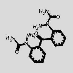 NC(=O)N(N)c1ccccc1C(=O)c1ccccc1N(N)C(N)=O